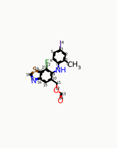 Cc1cc(I)ccc1Nc1c(COC=O)cc2ncsc2c1F